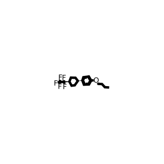 CCCCOc1ccc([C@H]2CC[C@H](C(F)(F)C(F)(F)F)CC2)cc1